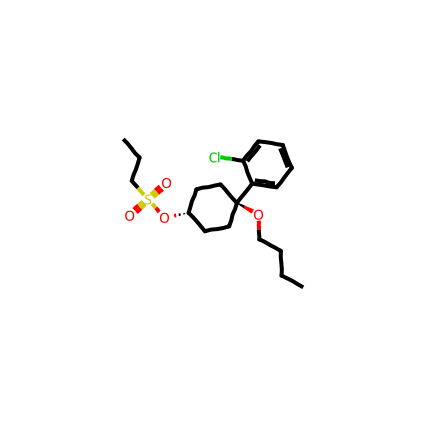 CCCCO[C@]1(c2ccccc2Cl)CC[C@@H](OS(=O)(=O)CCC)CC1